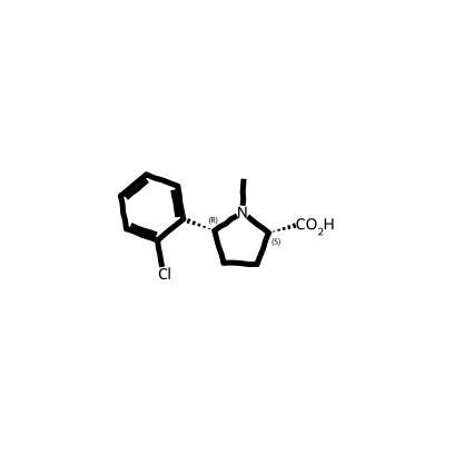 CN1[C@@H](c2ccccc2Cl)CC[C@H]1C(=O)O